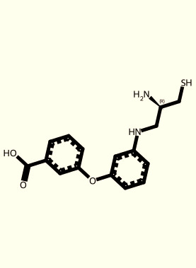 N[C@@H](CS)CNc1cccc(Oc2cccc(C(=O)O)c2)c1